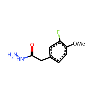 COc1ccc(CC(=O)NN)cc1F